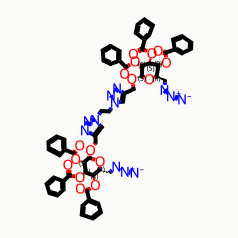 [N-]=[N+]=NC[C@H]1O[C@H](OCc2cn(CCn3cc(COC4O[C@H](CN=[N+]=[N-])[C@@H](OC(=O)c5ccccc5)[C@H](OC(=O)c5ccccc5)[C@@H]4OC(=O)c4ccccc4)nn3)nn2)[C@@H](OC(=O)c2ccccc2)[C@@H](OC(=O)c2ccccc2)[C@@H]1OC(=O)c1ccccc1